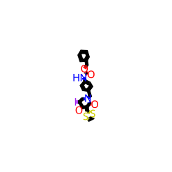 O=C(Nc1ccc(CN2CC(I)C(=O)C(=C3SC=CS3)C2=O)cc1)OCc1ccccc1